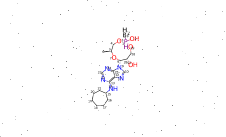 B[PH]1(O)OC[C@H](C)O[C@@H](n2cnc3c(NC4CCCCCC4)ncnc32)[C@@H](O)CO1